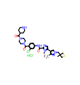 Cl.Cn1c(-c2cn(CC3(C)CSC3)nc2C(F)(F)F)cnc1C(=O)Nc1ccc(C(=O)N2CCN(C(=O)C3CCNCC3)CC2)c(Cl)c1